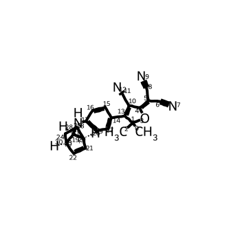 CC1(C)OC(=C(C#N)C#N)C(C#N)=C1c1ccc(N[C@H]2[C@@H]3C=C[C@H]2CC3)cc1